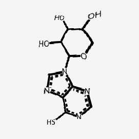 OC1COC(n2cnc3c(S)ncnc32)C(O)C1O